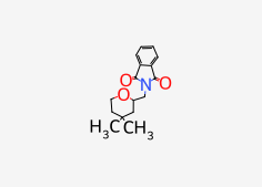 CC1(C)CCOC(CN2C(=O)c3ccccc3C2=O)C1